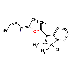 C=C(O/C(C)=C(I)/C=C\C(C)C)C1=C(C)C(C)(C)c2ccccc21